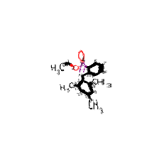 CCO[PH](=O)c1ccccc1Cc1c(C)cc(C)cc1C